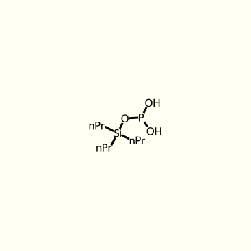 CCC[Si](CCC)(CCC)OP(O)O